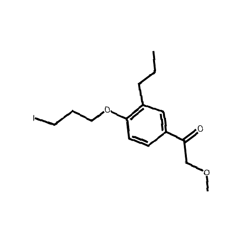 CCCc1cc(C(=O)COC)ccc1OCCCI